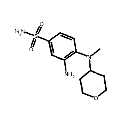 CN(c1ccc(S(N)(=O)=O)cc1N)C1CCOCC1